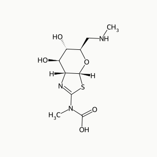 CNC[C@H]1O[C@@H]2SC(N(C)C(=O)O)=N[C@@H]2[C@@H](O)[C@@H]1O